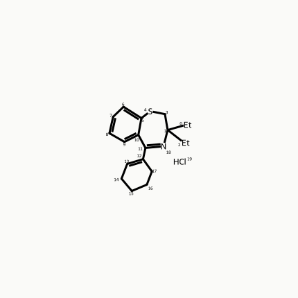 CCC1(CC)CSc2ccccc2C(C2=CCCCC2)=N1.Cl